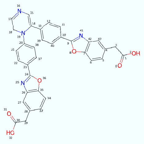 O=C(O)Cc1ccc2oc(-c3ccc(C4=CN=CCN4c4ccc(-c5nc6cc(CC(=O)O)ccc6o5)cc4)cc3)nc2c1